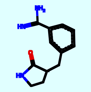 N=C(N)c1cccc(C[C]2CCNC2=O)c1